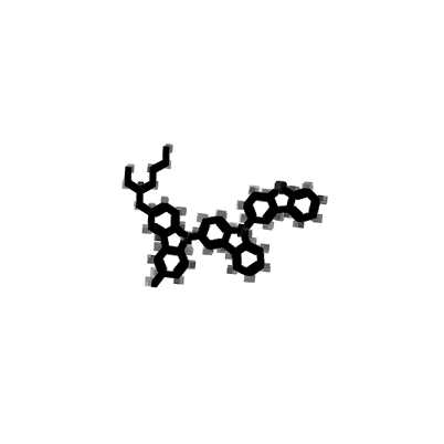 CCCCC(CC)Cc1ccc2c(c1)c1cc(C)ccc1n2-c1ccc2c(c1)c1ccccc1n2-c1ccc2oc3ccccc3c2c1